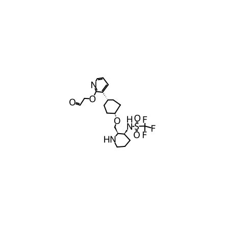 O=CCOc1ncccc1[C@H]1CC[C@@H](OC[C@@H]2NCCC[C@@H]2NS(=O)(=O)C(F)(F)F)CC1